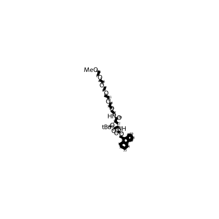 COCCOCCOCCOCCOCCOCCNC(=O)CC[C@H](NC(=O)OCC1c2ccccc2-c2ccccc21)C(=O)OC(C)(C)C